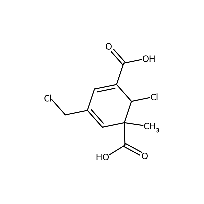 CC1(C(=O)O)C=C(CCl)C=C(C(=O)O)C1Cl